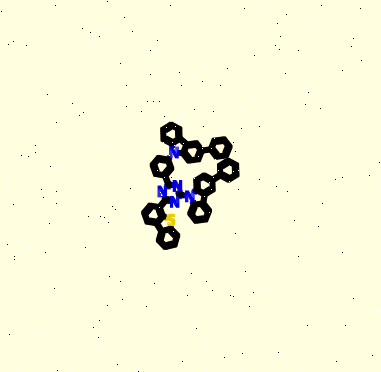 c1ccc(-c2ccc3c(c2)c2ccccc2n3-c2cccc(-c3nc(-c4cccc5c4sc4ccccc45)nc(-n4c5ccccc5c5cc(-c6ccccc6)ccc54)n3)c2)cc1